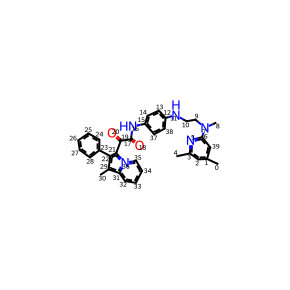 Cc1cc(C)nc(N(C)CCNc2ccc(NC(=O)C(=O)c3c(-c4ccccc4)c(C)c4ccccn34)cc2)c1